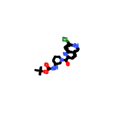 CC(C)(C)OC(=O)NC1CCCN(C(=O)c2ccc3cnc(Cl)cc3n2)C1